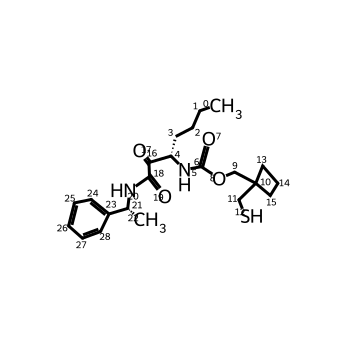 CCCC[C@H](NC(=O)OCC1(CS)CCC1)C(=O)C(=O)N[C@H](C)c1ccccc1